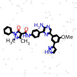 COc1cc(-c2cc[nH]n2)cc(-c2cnc(N)c(-c3ccc(NC(=O)c4c(C)n(C)n(-c5ccccc5)c4=O)cc3)n2)c1